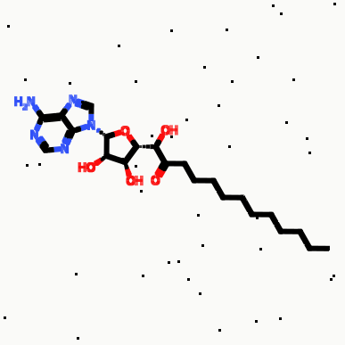 CCCCCCCCCCCC(=O)C(O)[C@H]1O[C@@H](n2cnc3c(N)ncnc32)[C@H](O)[C@@H]1O